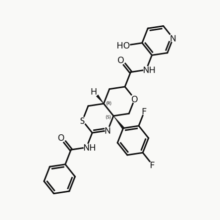 O=C(NC1=N[C@@]2(c3ccc(F)cc3F)COC(C(=O)Nc3cnccc3O)C[C@H]2CS1)c1ccccc1